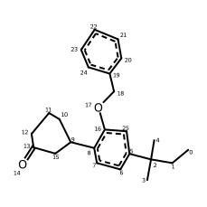 CCC(C)(C)c1ccc(C2CCCC(=O)C2)c(OCc2ccccc2)c1